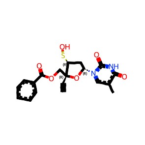 C#C[C@]1(COC(=O)c2ccccc2)O[C@@H](n2cc(C)c(=O)[nH]c2=O)C[C@H]1SO